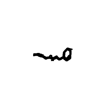 C#CCON=CCC1=CC[CH]C=C1